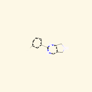 Cc1cccc(-c2ncc3c(n2)CNC3)c1